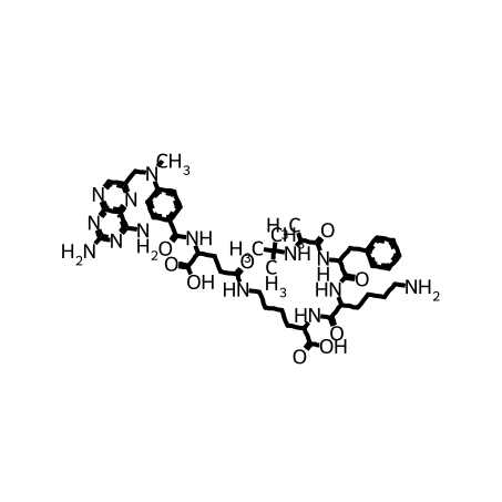 CC(NC(C)(C)C)C(=O)NC(Cc1ccccc1)C(=O)NC(CCCCN)C(=O)NC(CCCCNC(=O)CCC(NC(=O)c1ccc(N(C)Cc2cnc3nc(N)nc(N)c3n2)cc1)C(=O)O)C(=O)O